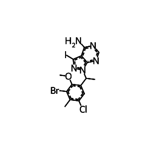 COc1c(C(C)n2nc(I)c3c(N)ncnc32)cc(Cl)c(C)c1Br